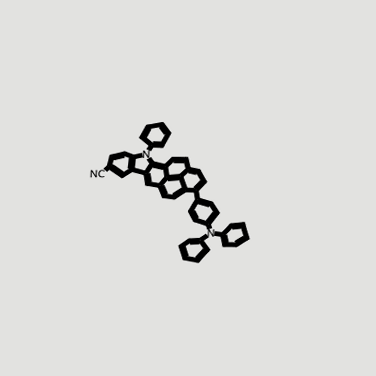 N#Cc1ccc2c(c1)c1cc3ccc4c(-c5ccc(N(c6ccccc6)c6ccccc6)cc5)ccc5ccc(c3c54)c1n2-c1ccccc1